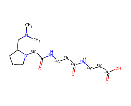 CN(C)CC1CCCN1[13CH2]C(=O)[15NH][13CH2][13CH2][13C](=O)[15NH][13CH2][13CH2][13C](=O)O